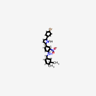 [2H]N1C(c2ccc(Br)cc2)CCC1c1ccc(NCc2ccc(C)c(C)c2)c([N+](=O)[O-])c1